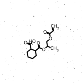 C=CC(=O)OCC(C)OC(=O)C1CCCCC1C(=O)O